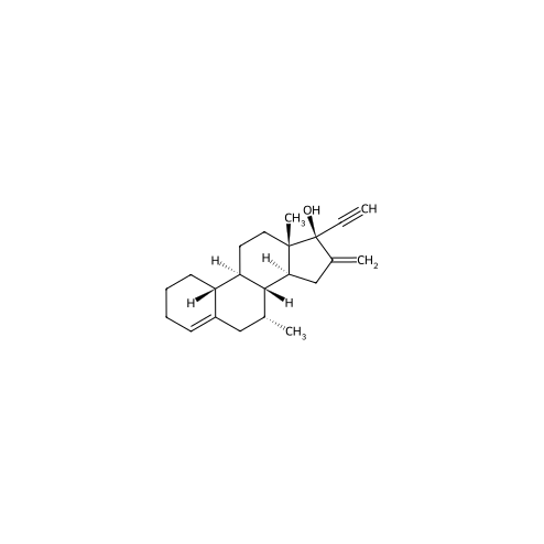 C#C[C@]1(O)C(=C)C[C@H]2[C@H]3[C@H](CC[C@@]21C)[C@H]1CCCC=C1C[C@H]3C